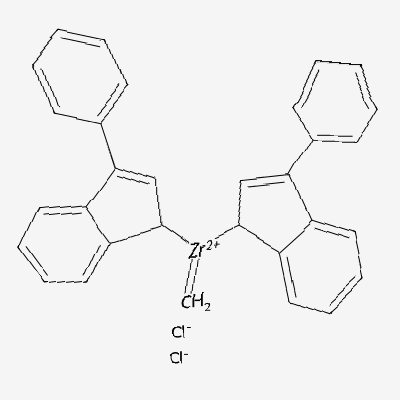 [CH2]=[Zr+2]([CH]1C=C(c2ccccc2)c2ccccc21)[CH]1C=C(c2ccccc2)c2ccccc21.[Cl-].[Cl-]